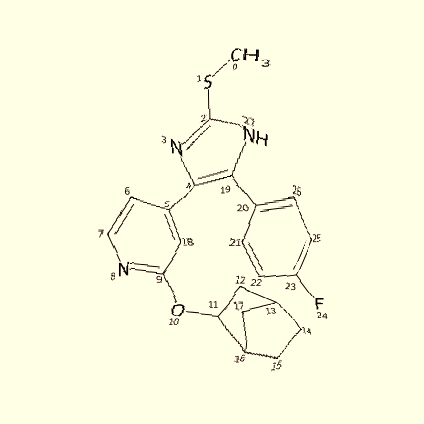 CSc1nc(-c2ccnc(OC3CC4CCC3C4)c2)c(-c2ccc(F)cc2)[nH]1